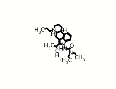 CCCN1CCC[C@@H]2c3cccc4c3c(c(C(C)C)n4NC(=O)N(CC)CC)C[C@H]21